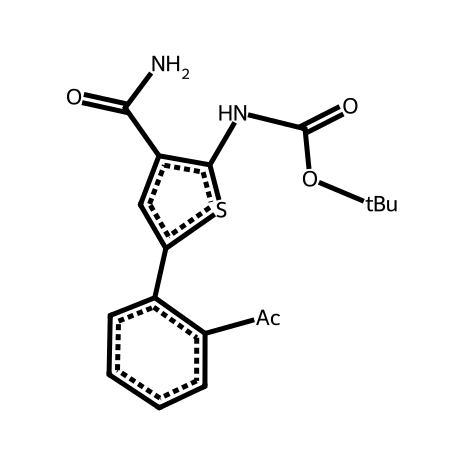 CC(=O)c1ccccc1-c1cc(C(N)=O)c(NC(=O)OC(C)(C)C)s1